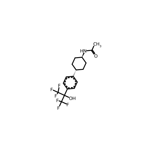 CC(=O)N[C@H]1CC[C@H](c2ccc(C(O)(C(F)(F)F)C(F)(F)F)cc2)CC1